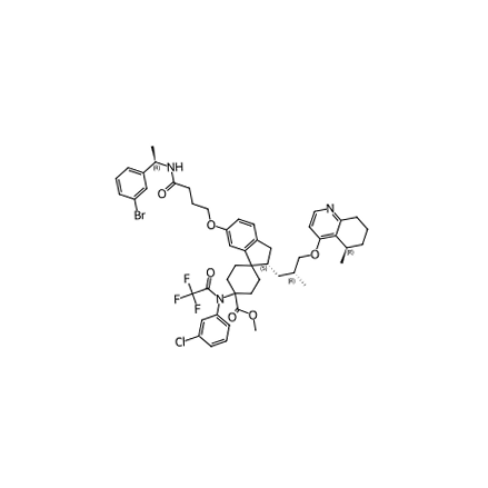 COC(=O)C1(N(C(=O)C(F)(F)F)c2cccc(Cl)c2)CCC2(CC1)c1cc(OCCCC(=O)N[C@H](C)c3cccc(Br)c3)ccc1C[C@@H]2C[C@@H](C)COc1ccnc2c1[C@H](C)CCC2